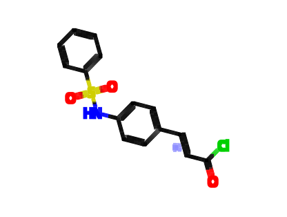 O=C(Cl)/C=C/c1ccc(NS(=O)(=O)c2ccccc2)cc1